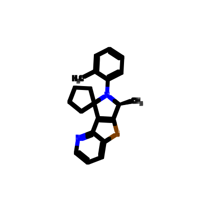 Cc1ccccc1N1[C@@H](C)c2sc3cccnc3c2C12CCCC2